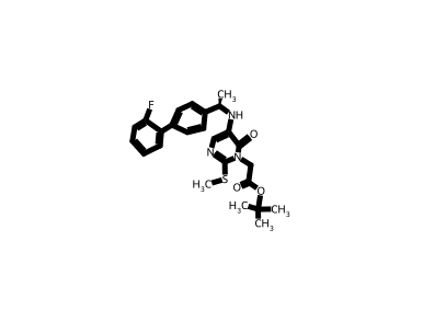 CSc1ncc(N[C@H](C)c2ccc(-c3ccccc3F)cc2)c(=O)n1CC(=O)OC(C)(C)C